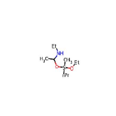 CCC[Si](C)(OCC)OC(C)NCC